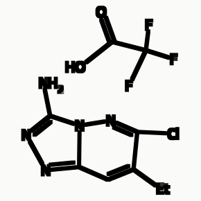 CCc1cc2nnc(N)n2nc1Cl.O=C(O)C(F)(F)F